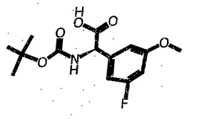 COc1cc(F)cc([C@@H](NC(=O)OC(C)(C)C)C(=O)O)c1